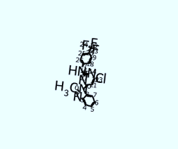 Cc1nc2ccccc2n1-c1cc(Cl)nc(Nc2ccc(C(F)(F)F)cc2)n1